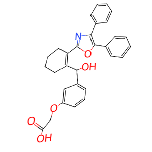 O=C(O)COc1cccc(C(O)C2=C(c3nc(-c4ccccc4)c(-c4ccccc4)o3)CCCC2)c1